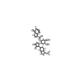 CC(C)c1cc(-c2n[nH]c(=O)n2-c2ccc3c(ccn3C3CC3)c2)c(OC(=O)c2ncn3c(=O)n(C)nnc23)cc1O